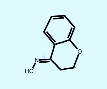 O/N=C1\C[CH]Oc2ccccc21